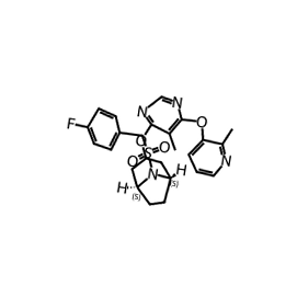 Cc1ncccc1Oc1ncnc(OC2C[C@@H]3CC[C@@H](C2)N3S(=O)(=O)Cc2ccc(F)cc2)c1C